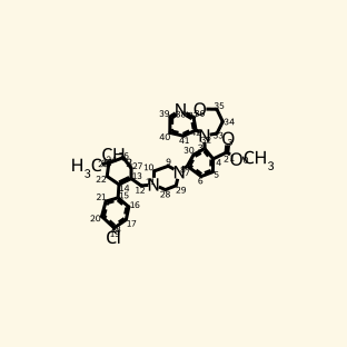 COC(=O)c1ccc(N2CCN(CC3=C(c4ccc(Cl)cc4)CC(C)(C)CC3)CC2)cc1N1CCCOc2ncccc21